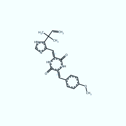 C=CC(C)(C)c1[nH]cnc1/C=c1\[nH]c(=O)/c(=C/c2ccc(OC)cc2)[nH]c1=O